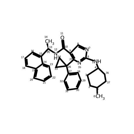 CC1CCC(Nc2ncc(C(=O)N[C@H](C)c3cccc4ccccc34)c(C3(c4ccccc4)CC3)n2)CC1